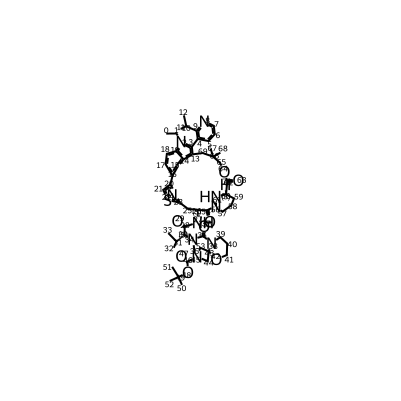 CCn1c(-c2cccnc2C(C)C)c2c3cc(ccc31)-c1csc(n1)C[C@H](NC(=O)[C@H](C(C)C)N(C)C(=O)N1CCCOC13CN(C(=O)OC(C)(C)C)C3)C(=O)N1CCC[C@H](N1)C(=O)OCC(C)(C)C2